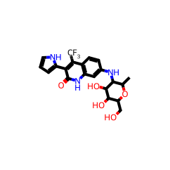 CC1OC(CO)C(O)C(O)C1Nc1ccc2c(C(F)(F)F)c(-c3ccc[nH]3)c(=O)[nH]c2c1